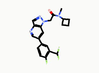 CN(C(=O)Cn1ncc2ncc(-c3ccc(F)c(C(F)F)c3)cc21)C1CCC1